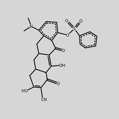 CN(C)c1ccc(OS(=O)(=O)c2ccccc2)c2c1CC1CC3CC(O)=C(C#N)C(=O)C3C(O)=C1C2=O